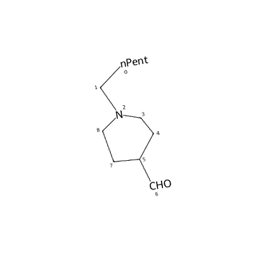 CCCCCCN1CCC(C=O)CC1